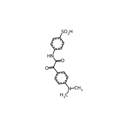 CN(C)c1ccc(C(=O)C(=O)Nc2ccc(S(=O)(=O)O)cc2)cc1